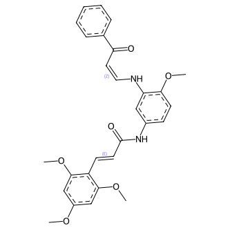 COc1cc(OC)c(/C=C/C(=O)Nc2ccc(OC)c(N/C=C\C(=O)c3ccccc3)c2)c(OC)c1